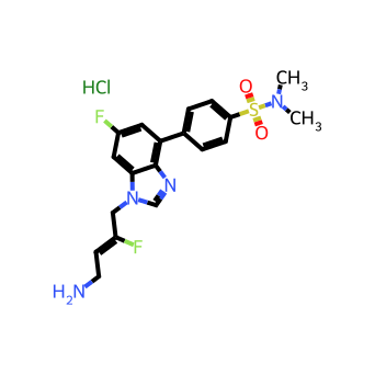 CN(C)S(=O)(=O)c1ccc(-c2cc(F)cc3c2ncn3C/C(F)=C/CN)cc1.Cl